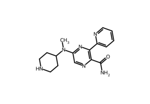 CN(c1cnc(C(N)=O)c(-c2ccccn2)n1)C1CCNCC1